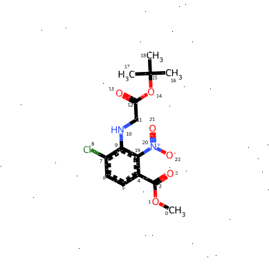 COC(=O)c1ccc(Cl)c(NCC(=O)OC(C)(C)C)c1[N+](=O)[O-]